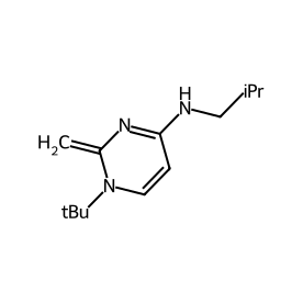 C=C1N=C(NCC(C)C)C=CN1C(C)(C)C